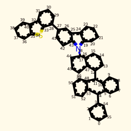 c1ccc(-c2c3ccccc3c(-c3cccc4c(-n5c6ccccc6c6cc(-c7cccc8c7sc7ccccc78)ccc65)cccc34)c3ccccc23)cc1